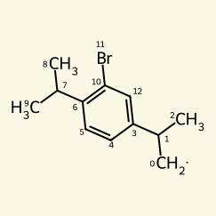 [CH2]C(C)c1ccc(C(C)C)c(Br)c1